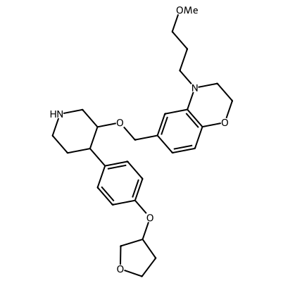 COCCCN1CCOc2ccc(COC3CNCCC3c3ccc(OC4CCOC4)cc3)cc21